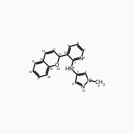 Cn1cc(Nc2ncccc2C2C=Cc3ccccc3O2)cn1